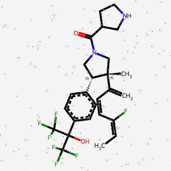 C=C(/C=C\C(F)=C/C)[C@@]1(C)CN(C(=O)C2CCNC2)C[C@H]1c1ccc(C(O)(C(F)(F)F)C(F)(F)F)cc1